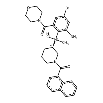 C[N+](C)(c1c(N)cc(Br)cc1C(=O)N1CCOCC1)[C@@H]1CCCN(C(=O)c2cncc3ccccc23)C1